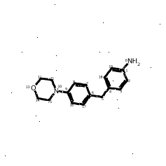 Nc1ccc(Cc2ccc(N3CCOCC3)cc2)cc1